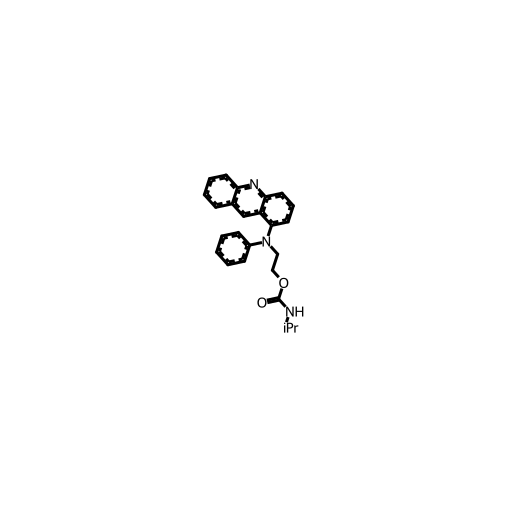 CC(C)NC(=O)OCCN(c1ccccc1)c1cccc2nc3ccccc3cc12